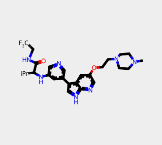 CC(C)C(Nc1cncc(-c2c[nH]c3ncc(OCCN4CCN(C)CC4)cc23)c1)C(=O)NCC(F)(F)F